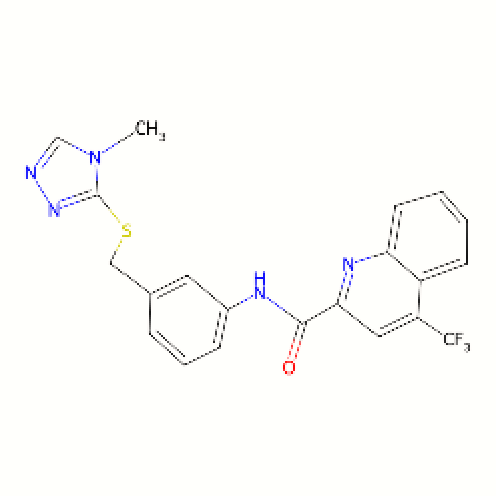 Cn1cnnc1SCc1cccc(NC(=O)c2cc(C(F)(F)F)c3ccccc3n2)c1